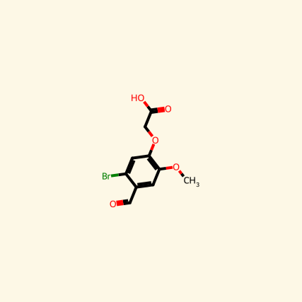 COc1cc(C=O)c(Br)cc1OCC(=O)O